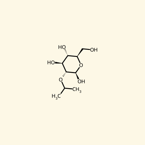 CC(C)O[C@@H]1[C@@H](O)[C@H](O)[C@@H](CO)O[C@H]1O